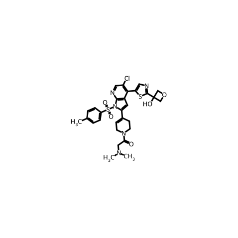 Cc1ccc(S(=O)(=O)n2c(C3=CCN(C(=O)CN(C)C)CC3)cc3c(-c4cnc(C5(O)COC5)s4)c(Cl)cnc32)cc1